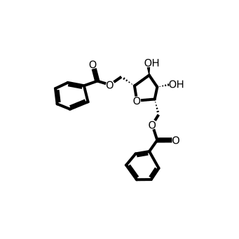 O=C(OC[C@@H]1O[C@H](COC(=O)c2ccccc2)[C@@H](O)[C@@H]1O)c1ccccc1